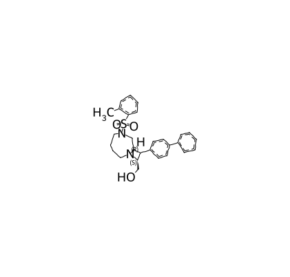 Cc1ccccc1S(=O)(=O)N1CCCCN2[C@H](CO)C(c3ccc(-c4ccccc4)cc3)[C@@H]2C1